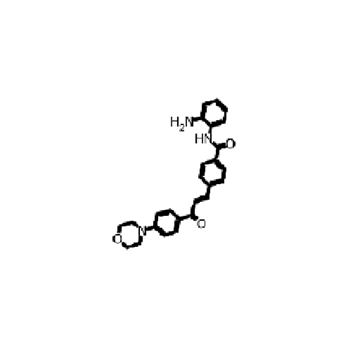 Nc1ccccc1NC(=O)c1ccc(C=CC(=O)c2ccc(N3CCOCC3)cc2)cc1